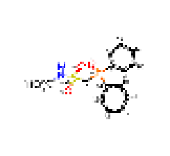 O=C(O)NS(=O)(=O)CP(=O)(c1ccccc1)c1ccccc1